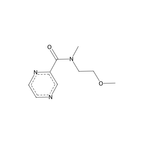 COCCN(C)C(=O)c1cnccn1